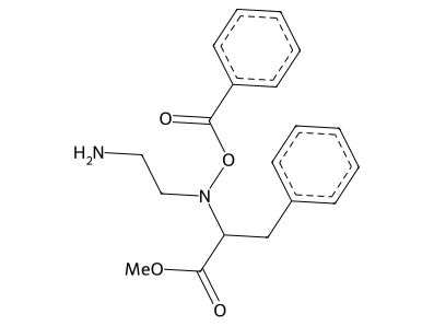 COC(=O)C(Cc1ccccc1)N(CCN)OC(=O)c1ccccc1